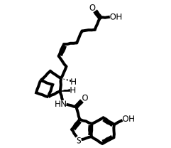 O=C(O)CCC/C=C\C[C@@H]1CC2CC(C2)[C@H]1NC(=O)c1csc2ccc(O)cc12